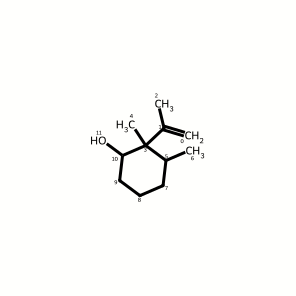 C=C(C)C1(C)C(C)CCCC1O